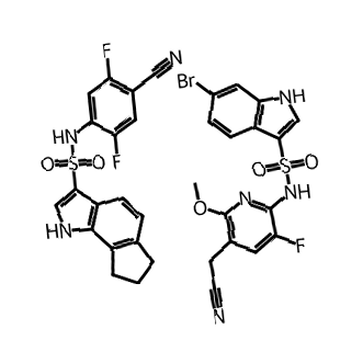 COc1nc(NS(=O)(=O)c2c[nH]c3cc(Br)ccc23)c(F)cc1CC#N.N#Cc1cc(F)c(NS(=O)(=O)c2c[nH]c3c4c(ccc23)CCC4)cc1F